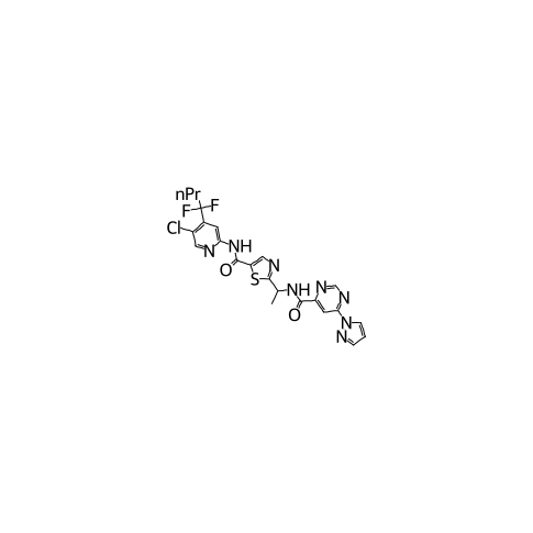 CCCC(F)(F)c1cc(NC(=O)c2cnc(C(C)NC(=O)c3cc(-n4cccn4)ncn3)s2)ncc1Cl